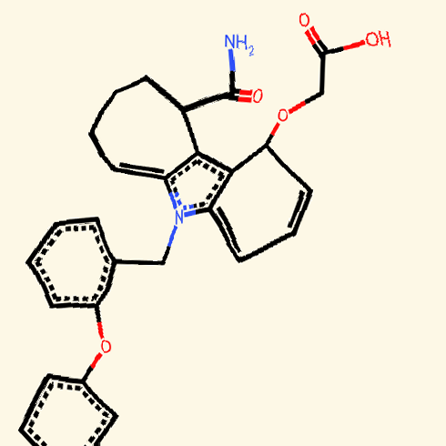 NC(=O)C1CCCC=c2c1c1c(n2Cc2ccccc2Oc2ccccc2)=CC=CC1OCC(=O)O